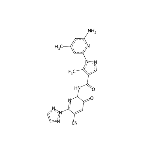 Cc1cc(N)nc(-n2ncc(C(=O)NC3N=C(n4nccn4)C(C#N)=CC3=O)c2C(F)(F)F)c1